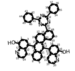 Oc1ccc(-c2c3ccccc3c(-c3ccc(O)c4ncccc34)c3c2ccc2c(-c4nc(-c5ccccc5)nc(-c5ccccc5)n4)cccc23)c2cccnc12